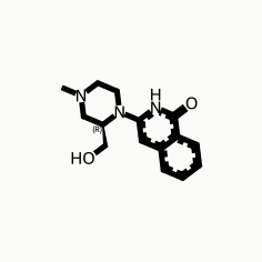 CN1CCN(c2cc3ccccc3c(=O)[nH]2)[C@@H](CO)C1